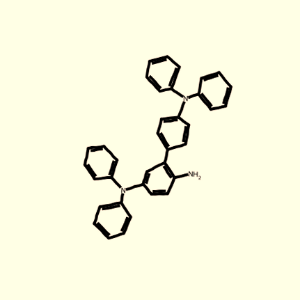 Nc1ccc(N(c2ccccc2)c2ccccc2)cc1-c1ccc(N(c2ccccc2)c2ccccc2)cc1